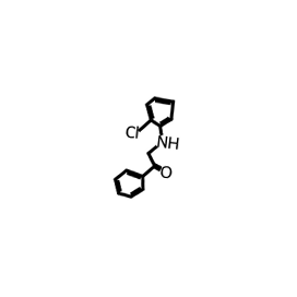 O=C(CNc1ccccc1Cl)c1ccccc1